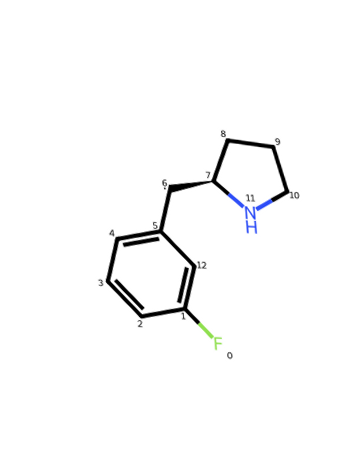 Fc1cccc([CH][C@H]2CCCN2)c1